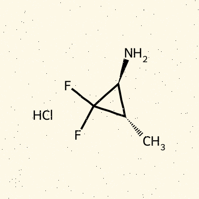 C[C@H]1[C@H](N)C1(F)F.Cl